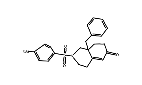 CC(C)(C)c1ccc(S(=O)(=O)N2CCC3=CC(=O)CCC3(Cc3ccccc3)C2)cc1